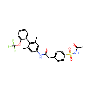 CC(=O)NS(=O)(=O)c1ccc(CC(=O)Nc2cc(C)c(-c3ccccc3OC(F)(F)F)c(C)c2)cc1